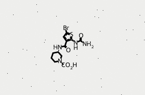 NC(=O)Nc1sc(Br)cc1C(=O)N[C@H]1CCCN(C(=O)O)C1